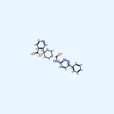 O=C1O[C@]2(CC[C@@H](C(=O)Nc3ncc(-c4ccccc4)nn3)CC2)c2cnccc21